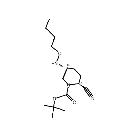 CCCCON[C@@H]1CC[C@@H](C#N)N(C(=O)OC(C)(C)C)C1